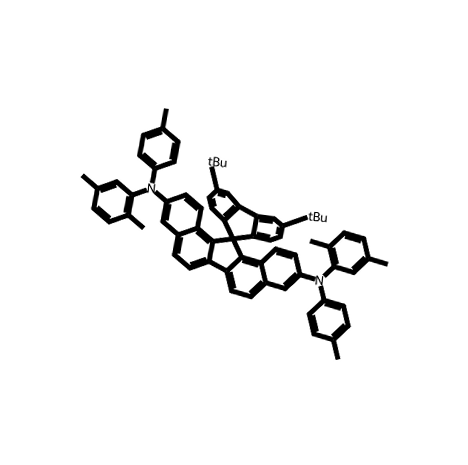 Cc1ccc(N(c2ccc3c4c(ccc3c2)-c2ccc3cc(N(c5ccc(C)cc5)c5cc(C)ccc5C)ccc3c2C42c3ccc(C(C)(C)C)cc3-c3cc(C(C)(C)C)ccc32)c2cc(C)ccc2C)cc1